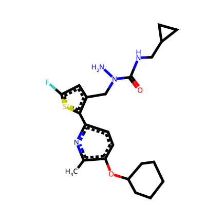 Cc1nc(-c2sc(F)cc2CN(N)C(=O)NCC2CC2)ccc1OC1CCCCC1